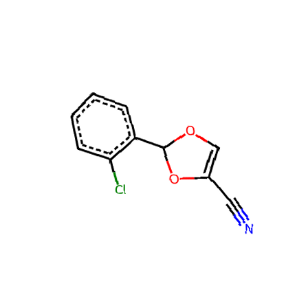 N#CC1=COC(c2ccccc2Cl)O1